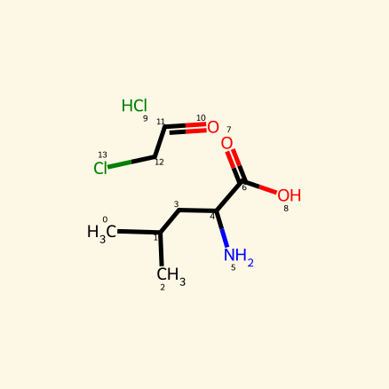 CC(C)CC(N)C(=O)O.Cl.O=CCCl